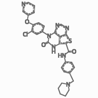 O=C(Nc1ccc(CN2CCCCC2)cc1)c1sc2ncnc3c2c1NC(=O)N3c1ccc(Oc2cccnc2)c(Cl)c1